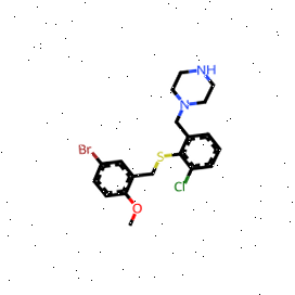 COc1ccc(Br)cc1CSc1c(Cl)cccc1CN1CCNCC1